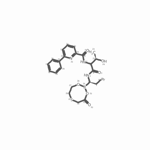 CC(C)C[C@H](NC(=O)C(NC(=O)c1cccc(-c2ccccc2)n1)[C@@H](C)O)B1OCCSCC(=O)O1